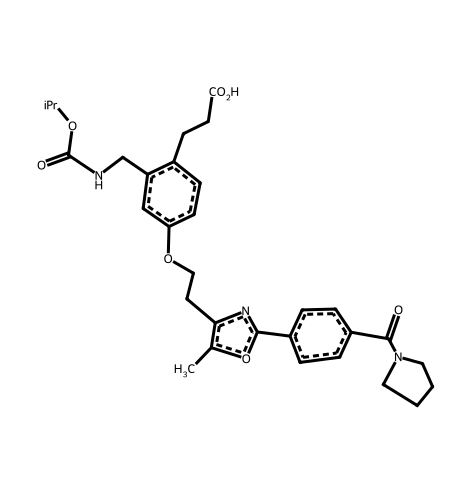 Cc1oc(-c2ccc(C(=O)N3CCCC3)cc2)nc1CCOc1ccc(CCC(=O)O)c(CNC(=O)OC(C)C)c1